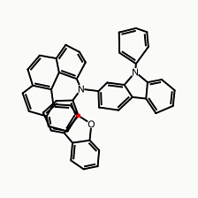 c1ccc(-n2c3ccccc3c3ccc(N(c4cccc5c4oc4ccccc45)c4cccc5ccc6ccc7ccccc7c6c45)cc32)cc1